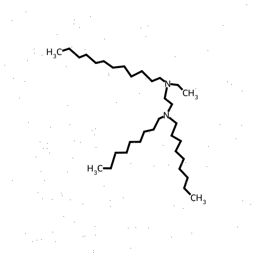 CCCCCCCCCCCCN(CC)CCN(CCCCCCCCC)CCCCCCCCC